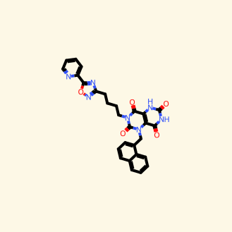 O=c1[nH]c(=O)c2c([nH]1)c(=O)n(CCCCc1noc(-c3ccccn3)n1)c(=O)n2Cc1cccc2ccccc12